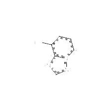 CC(C)c1cccn2ncnc12